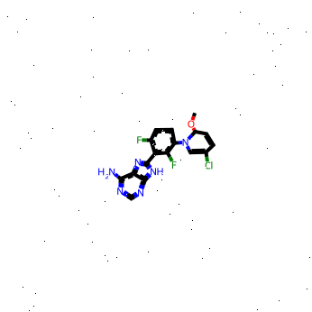 COC1C=CC(Cl)=CN1c1ccc(F)c(-c2nc3c(N)ncnc3[nH]2)c1F